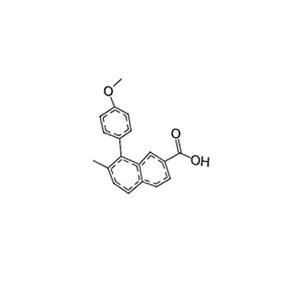 COc1ccc(-c2c(C)ccc3ccc(C(=O)O)cc23)cc1